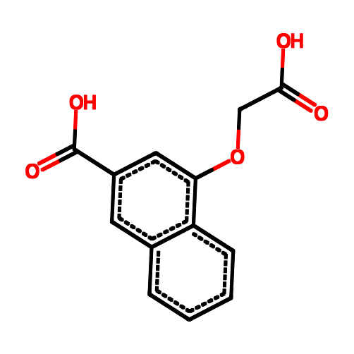 O=C(O)COc1cc(C(=O)O)cc2ccccc12